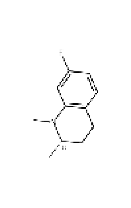 C[C@H]1CCc2ccc(F)cc2N1C